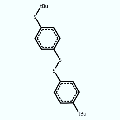 CC(C)(C)Sc1ccc(SSc2ccc(C(C)(C)C)cc2)cc1